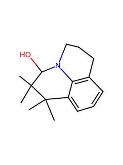 CC1(C)c2cccc3c2N(CCC3)C(O)C1(C)C